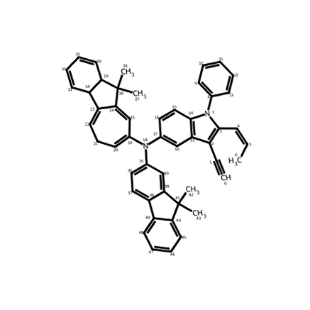 C#Cc1c(/C=C\C)n(-c2ccccc2)c2ccc(N(C3=CCC=C4C(=C3)C(C)(C)C3C=CC=CC43)c3ccc4c(c3)C(C)(C)c3ccccc3-4)cc12